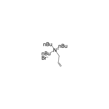 C=CC[N+](CCCC)(CCCC)CCCC.[Br-]